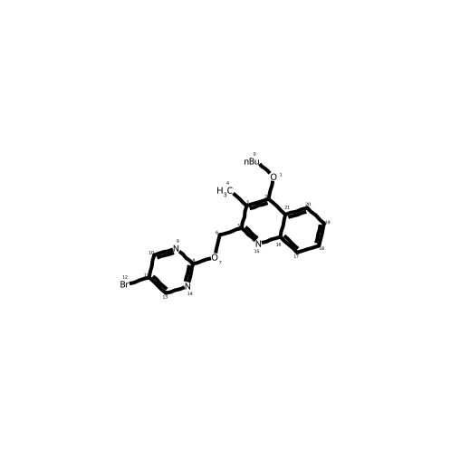 CCCCOc1c(C)c(COc2ncc(Br)cn2)nc2ccccc12